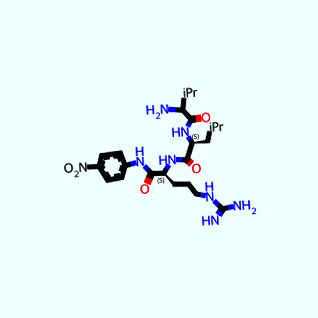 CC(C)C[C@H](NC(=O)C(N)C(C)C)C(=O)N[C@@H](CCCNC(=N)N)C(=O)Nc1ccc([N+](=O)[O-])cc1